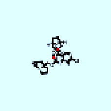 CC(C)(C)OC(=O)N1[C@@H]2CC[C@H]1CN(c1nc(OCC34CCCN3C3CC3C4)nc3c(F)c(Cl)ncc13)C2